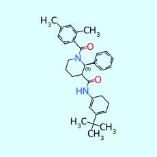 Cc1ccc(C(=O)N2CCCC(C(=O)NC3=CC(C(C)(C)C)=CCC3)[C@@H]2c2ccccc2)c(C)c1